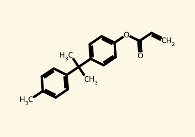 C=CC(=O)Oc1ccc(C(C)(C)c2ccc(C)cc2)cc1